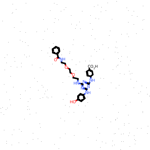 O=C(O)C1=CCC(Nc2nc(NCCOCCOCCNC(=O)c3ccccc3)nc(Nc3ccc(O)cc3)n2)C=C1